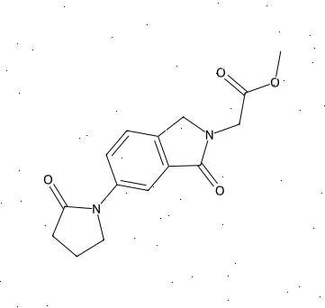 COC(=O)CN1Cc2ccc(N3CCCC3=O)cc2C1=O